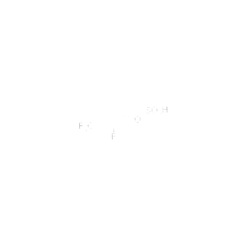 O=S(=O)(O)OCC(F)CC(F)(F)F